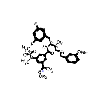 COc1cccc(CNC[C@@H](O)[C@H](Cc2cc(F)cc(F)c2)NC(=O)c2cc(/C(C)=N/OCC(C)C)cc(N(C)S(C)(=O)=O)c2)c1